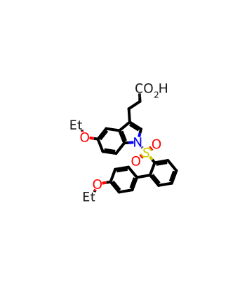 CCOc1ccc(-c2ccccc2S(=O)(=O)n2cc(CCC(=O)O)c3cc(OCC)ccc32)cc1